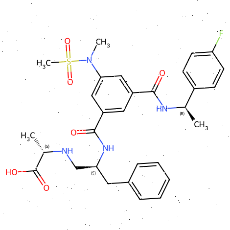 C[C@H](NC[C@H](Cc1ccccc1)NC(=O)c1cc(C(=O)N[C@H](C)c2ccc(F)cc2)cc(N(C)S(C)(=O)=O)c1)C(=O)O